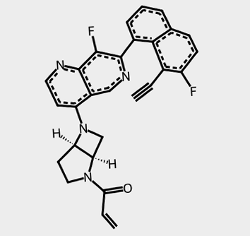 C#Cc1c(F)ccc2cccc(-c3ncc4c(N5C[C@@H]6[C@H]5CCN6C(=O)C=C)ccnc4c3F)c12